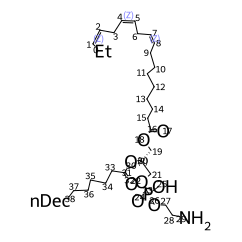 CC/C=C\C/C=C\C/C=C\CCCCCCCC(=O)OC[C@H](COP(=O)(O)OCCN)OC(=O)CCCCCCCCCCCCCCC